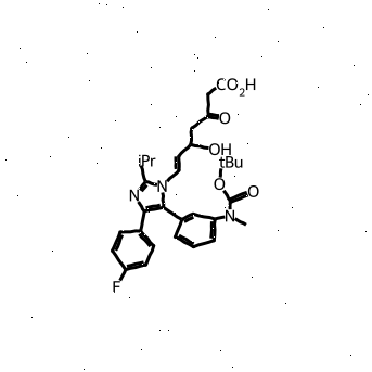 CC(C)c1nc(-c2ccc(F)cc2)c(-c2cccc(N(C)C(=O)OC(C)(C)C)c2)n1C=CC(O)CC(=O)CC(=O)O